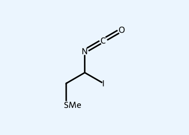 CSCC(I)N=C=O